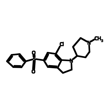 CN1CCC(N2CCc3cc(S(=O)(=O)c4ccccc4)cc(Cl)c32)CC1